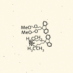 CC(C)(C#N)CCCCC1(CCCCC(C)(C)C#N)c2ccccc2-c2ccccc21.COCCOCCC1(CCOCCOC)c2ccccc2-c2ccccc21